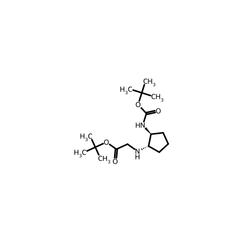 CC(C)(C)OC(=O)CN[C@H]1CCC[C@@H]1NC(=O)OC(C)(C)C